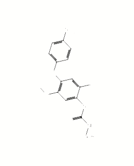 CCCCCNC(=O)Nc1cc(OCC)c(Oc2ccc([N+](=O)[O-])cc2)cc1F